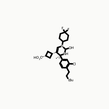 CC(C)(C)CCc1ccc([C@]2(C)NC(O)N(C3CCC(F)(F)CC3)C=C2[C@H]2C[C@@H](C(=O)O)C2)cc1Cl